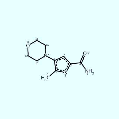 Cc1sc(C(N)=O)cc1N1CCOCC1